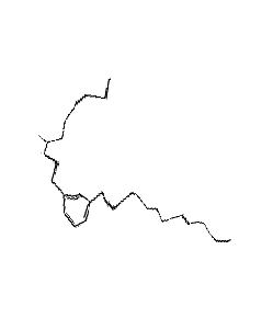 CCCCCCCCCCCc1cccc(CC[CH]C(C)CCCCCC)c1